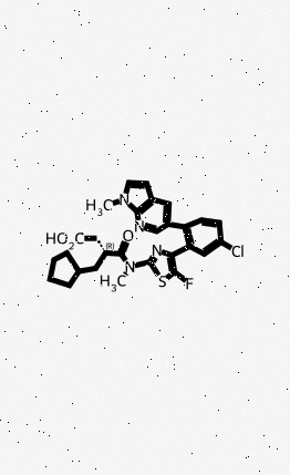 CN(C(=O)[C@@H](CC(=O)O)CC1CCCC1)c1nc(-c2cc(Cl)ccc2-c2cnc3c(ccn3C)c2)c(F)s1